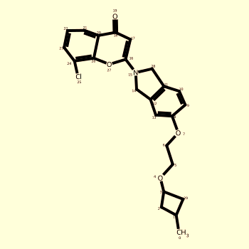 CC1CC(OCCOc2ccc3c(c2)CN(c2cc(=O)c4cccc(Cl)c4o2)C3)C1